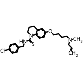 C=CCN(C)CCCCOc1ccc2c(c1)CCCN2C(=S)NCc1ccc(Cl)cc1